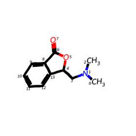 CN(C)CC1OC(=O)c2ccccc21